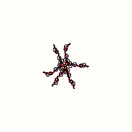 CCCCOc1ccc(CCCO/C=C/C(=O)Oc2cc3c4cc(OC(=O)/C=C/OCCCc5ccc(OCCCC)cc5)c(OC(=O)/C=C/OCCCc5ccc(OCCCC)cc5)cc4c4cc(OC(=O)/C=C/OCCCc5ccc(OCCCC)cc5)c(OC(=O)/C=C/OCCCc5ccc(OCCCC)cc5)cc4c3cc2OC(=O)/C=C/OCCCc2ccc(OCCCC)cc2)cc1